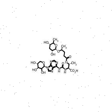 CC1O[C@H](O[C@@H](C)CCC(=O)O[C@H](C)[C@H](NC(=O)Nc2ncnc3c2ncn3[C@@H]2OC[C@@H](O)[C@H](O)C2O)C(=O)O)[C@H](O)C[C@@H]1O